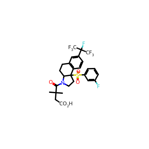 CC(C)(CC(=O)O)C(=O)N1CCC2(S(=O)(=O)c3cccc(F)c3)c3ccc(C(F)(C(F)(F)F)C(F)(F)F)cc3CCC12